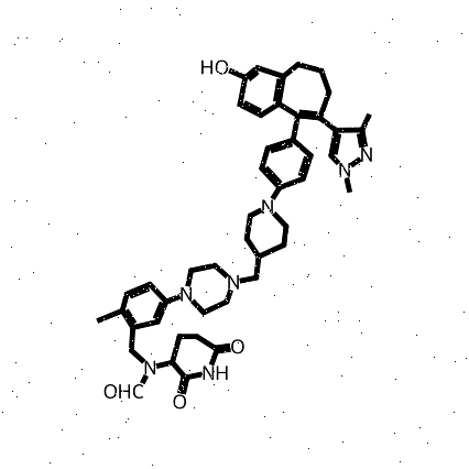 Cc1ccc(N2CCN(CC3CCN(c4ccc(C5=C(c6cn(C)nc6C)CCCc6cc(O)ccc65)cc4)CC3)CC2)cc1CN(C=O)C1CCC(=O)NC1=O